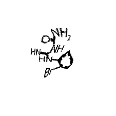 N=C(NC(N)=O)Nc1ccccc1Br